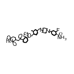 CCc1c(OCc2ccc(CN3CCN(c4ccc(C(N)=O)c(F)c4)CC3)cc2C)cccc1C(=O)CC1CCC(=O)NC1=O